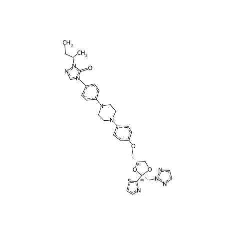 CCC(C)n1ncn(-c2ccc(N3CCN(c4ccc(OC[C@@H]5CO[C@@](Cn6nccn6)(c6nccs6)O5)cc4)CC3)cc2)c1=O